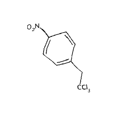 O=[N+]([O-])c1ccc(CC(Cl)(Cl)Cl)cc1